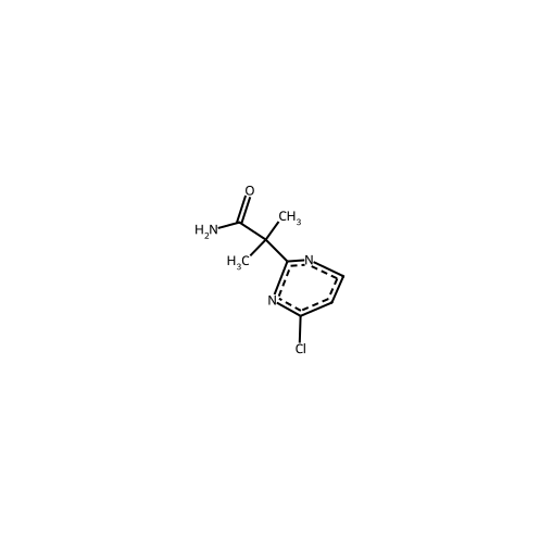 CC(C)(C(N)=O)c1nccc(Cl)n1